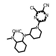 CN(C)C1CCCCC1N(C=O)C1CCCN(c2cnc(C#N)c(Cl)n2)C1